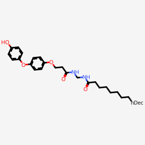 CCCCCCCCCCCCCCCCCC(=O)NCNC(=O)CCOc1ccc(Oc2ccc(O)cc2)cc1